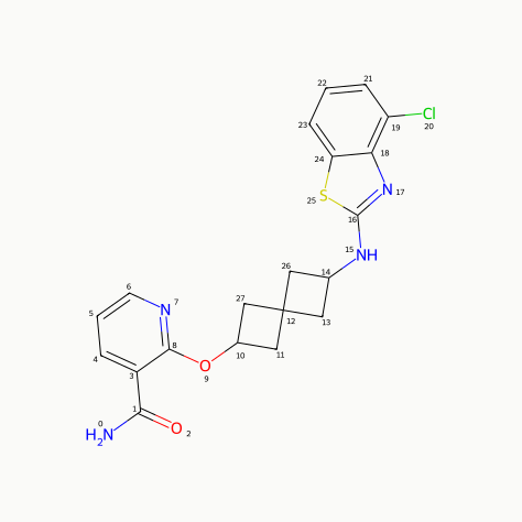 NC(=O)c1cccnc1OC1CC2(CC(Nc3nc4c(Cl)cccc4s3)C2)C1